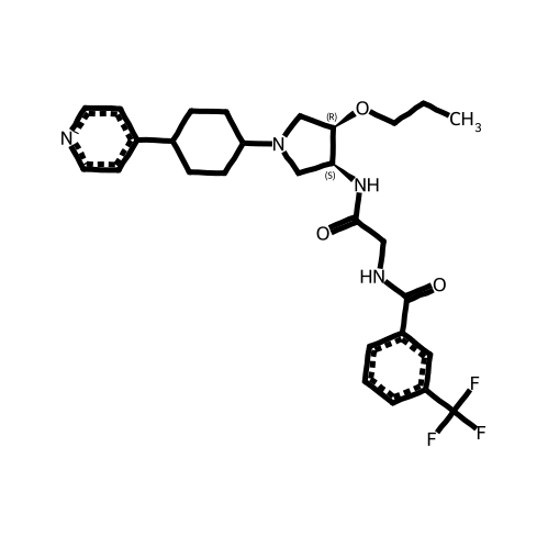 CCCO[C@@H]1CN(C2CCC(c3ccncc3)CC2)C[C@@H]1NC(=O)CNC(=O)c1cccc(C(F)(F)F)c1